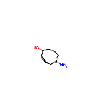 NC1C/C=C\C(O)CCC1